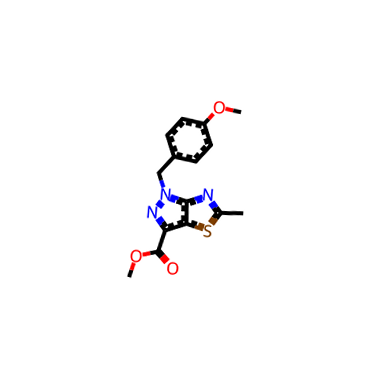 COC(=O)c1nn(Cc2ccc(OC)cc2)c2nc(C)sc12